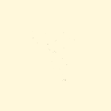 NS(=O)(=O)c1ccc(N2N=C(c3ccccc3Cl)CC2c2ccccc2O)cc1